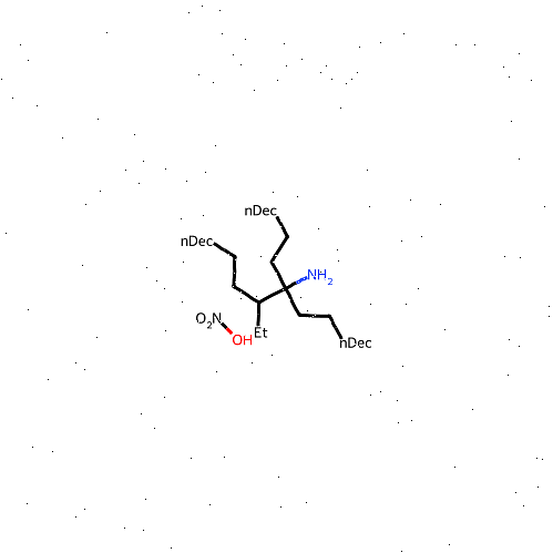 CCCCCCCCCCCCC(CC)C(N)(CCCCCCCCCCCC)CCCCCCCCCCCC.O=[N+]([O-])O